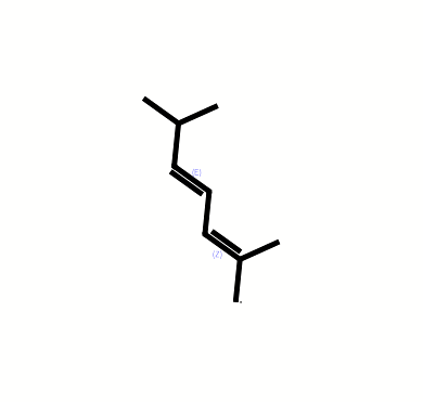 [CH2]/C(C)=C/C=C/C(C)C